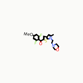 COc1cc(F)c(C(=O)c2cc3cc(C)n(CCN4CCOCC4)c3s2)c(F)c1